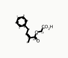 CC(=CCc1ccccc1)C(=O)OCC(=O)O